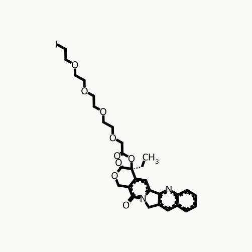 CC[C@@]1(OC(=O)COCCOCCOCCOCCI)C(=O)OCc2c1cc1n(c2=O)Cc2cc3ccccc3nc2-1